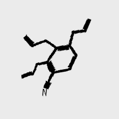 C=CCc1ccc(C#N)c(CC=C)c1CC=C